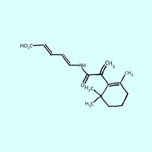 C=C(C(=O)NC=CC=CC(=O)O)C1=C(C)CCCC1(C)C